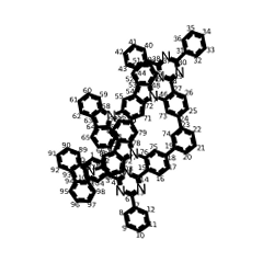 c1ccc(-c2nc(-c3ccccc3)nc(-c3ccc(-c4cccc(-c5ccc(-c6nc(-c7ccccc7)nc(-c7ccccc7)n6)c(-n6c7ccccc7c7cc(-n8c9ccccc9c9ccccc98)ccc76)c5)c4)cc3-n3c4ccccc4c4cc(-n5c6ccccc6c6ccccc65)ccc43)n2)cc1